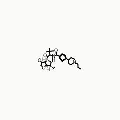 CCCN1CCC(c2ccc(C(=O)NC(C(=O)N3C[C@H](SC)[C@H]4OCC(=O)[C@H]43)C(C)(C)C)cc2)CC1